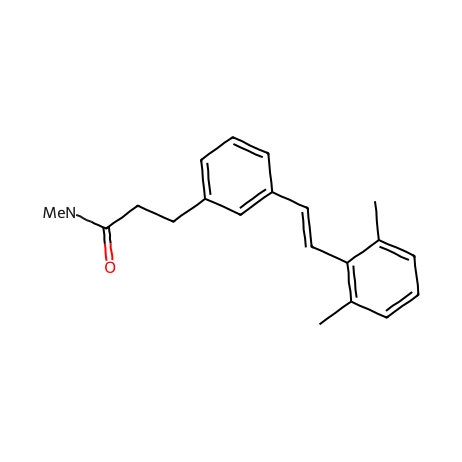 CNC(=O)CCc1cccc(C=Cc2c(C)cccc2C)c1